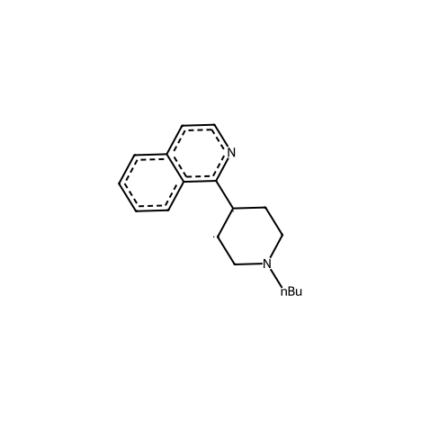 CCCCN1C[CH][C](c2nccc3ccccc23)CC1